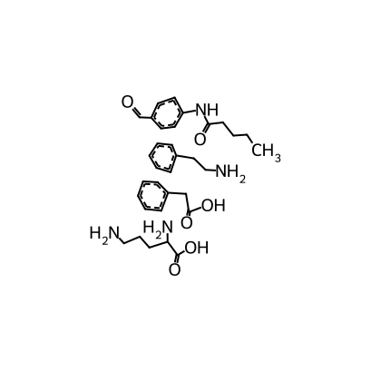 CCCCC(=O)Nc1ccc(C=O)cc1.NCCCC(N)C(=O)O.NCCc1ccccc1.O=C(O)Cc1ccccc1